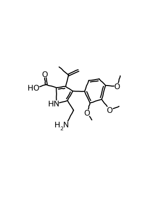 C=C(C)c1c(C(=O)O)[nH]c(CN)c1-c1ccc(OC)c(OC)c1OC